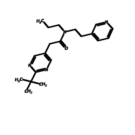 CCCN(CCc1cccnc1)C(=O)Cc1cnc(C(C)(C)C)nc1